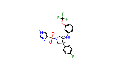 Cn1cnc(S(=O)(=O)N2C[C@@H](Nc3cccc(OC(F)(F)F)c3)[C@H](c3ccc(F)cc3)C2)c1